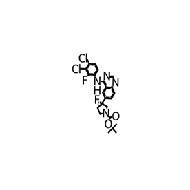 CC(C)(C)OC(=O)N1CC[C@](F)(c2ccc3ncnc(Nc4ccc(Cl)c(Cl)c4F)c3c2)C1